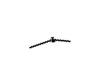 CCCCCCCCCCCCCCCCCCC[n+]1ccn(CCCCCCCCCCCCC)c1C(C)C